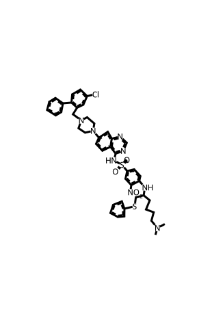 CN(C)CCCCC(CSc1ccccc1)Nc1ccc(S(=O)(=O)Nc2ncnc3cc(N4CCN(Cc5cc(Cl)ccc5-c5ccccc5)CC4)ccc23)cc1[N+](=O)[O-]